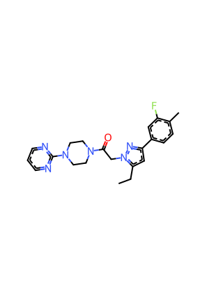 CCc1cc(-c2ccc(C)c(F)c2)nn1CC(=O)N1CCN(c2ncccn2)CC1